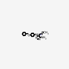 CO/N=C/c1c(N)ncnc1Nc1ccc(OCc2ccccc2)cc1